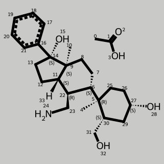 CC(=O)O.C[C@]1([C@H]2CC[C@@]3(C)[C@@H](CC[C@@]3(O)c3ccccc3)[C@@H]2CN)CC[C@H](O)C[C@@H]1CO